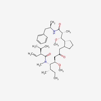 C=C[C@H](C(=O)N(C)[C@@H]([C@@H](C)CC)[C@@H](CC(=O)CC1CCC[C@H]1[C@H](OC)[C@@H](C)C(=O)N[C@H](C)Cc1ccccc1)OC)C(C)C